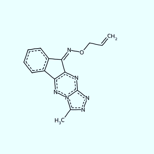 C=CCON=C1c2ccccc2-c2nn3c(C)nnc3nc21